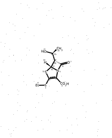 CCSC1=C(C(=O)O)N2C(=O)[C@@H]([C@H](C)O)[C@H]2S1